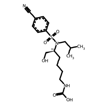 CC(C)CN([C@H](CO)CCCCNC(=O)O)S(=O)(=O)c1ccc(C#N)cc1